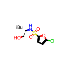 CC[C@H](C)[C@@H](CO)NS(=O)(=O)c1ccc(Cl)o1